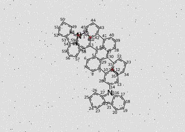 c1ccc(-c2c3cccc(-c4cccc(-n5c6ccccc6c6ccccc65)c4)c3c(-c3ccccc3)c3cccc(-c4cccc(-n5c6ccccc6c6ccccc65)c4)c23)cc1